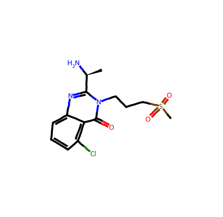 C[C@H](N)c1nc2cccc(Cl)c2c(=O)n1CCCS(C)(=O)=O